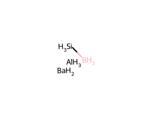 B[SiH3].[AlH3].[BaH2]